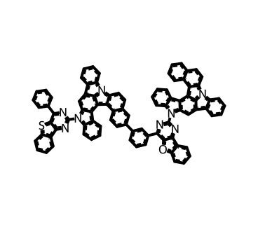 c1ccc(-c2nc(-n3c4ccccc4c4c5c6c7ccc(-c8cccc(-c9nc(-n%10c%11ccccc%11c%11c%12c%13c%14ccccc%14ccc%13n%13c%14ccccc%14c(cc%11%10)c%12%13)nc%10c9oc9ccccc9%10)c8)cc7ccc6n6c7ccccc7c(cc43)c56)nc3c2sc2ccccc23)cc1